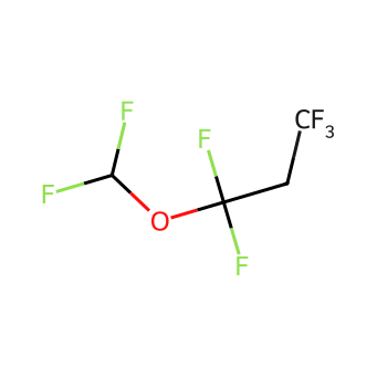 FC(F)OC(F)(F)CC(F)(F)F